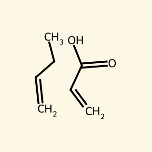 C=CC(=O)O.C=CCC